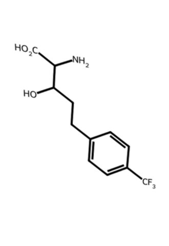 NC(C(=O)O)C(O)CCc1ccc(C(F)(F)F)cc1